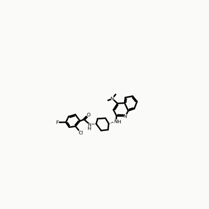 CN(C)c1cc(N[C@H]2CC[C@@H](NC(=O)c3ccc(F)cc3Cl)CC2)nc2ccccc12